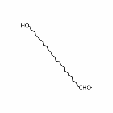 O=[C]CCCCCCCCCCCCCCCCCCCCCCCCO